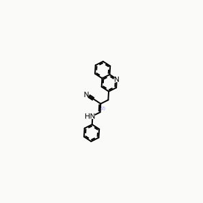 N#C/C(=C\Nc1ccccc1)Cc1cnc2ccccc2c1